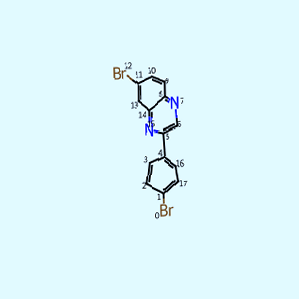 Brc1ccc(-c2cnc3ccc(Br)cc3n2)cc1